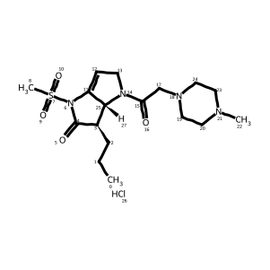 CCC[C@H]1C(=O)N(S(C)(=O)=O)C2=CCN(C(=O)CN3CCN(C)CC3)[C@@H]21.Cl